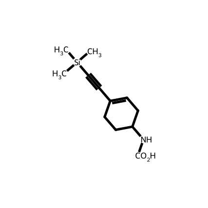 C[Si](C)(C)C#CC1=CCC(NC(=O)O)CC1